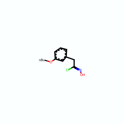 CCCCOc1cccc(C/C(Cl)=N/O)c1